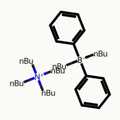 CCCC[B-](CCCC)(c1ccccc1)c1ccccc1.CCCC[N+](CCCC)(CCCC)CCCC